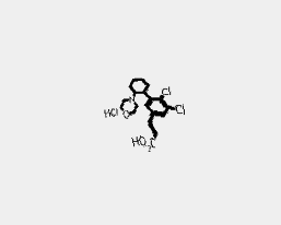 Cl.O=C(O)/C=C/c1cc(Cl)c(Cl)c(C2CCCCC2N2CCOCC2)c1